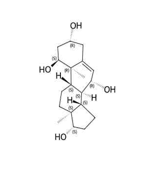 C[C@]12CC[C@H]3[C@@H]([C@@H](O)C=C4C[C@@H](O)C[C@H](O)[C@@]43C)[C@@H]1CC[C@@H]2O